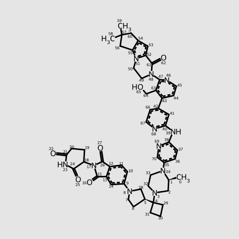 C[C@H]1CN(C2([C@H]3CCN(c4ccc5c(c4)C(=O)N(C4CCC(=O)NC4=O)C5=O)C3)CCC2)CCN1c1ccc(Nc2cc(-c3ccnc(N4CCn5c(cc6c5CC(C)(C)C6)C4=O)c3CO)ccn2)nc1